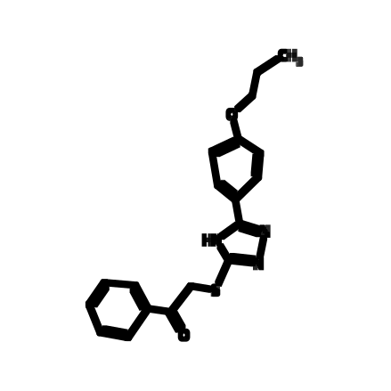 CCCOc1ccc(-c2nnc(SCC(=O)c3ccccc3)[nH]2)cc1